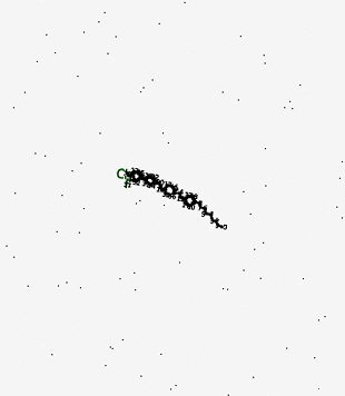 CCCCCCCCCc1ccc(CC[C@H]2CC[C@H](CCc3ccc(-c4ccc(Cl)c(F)c4)cc3)CC2)cc1